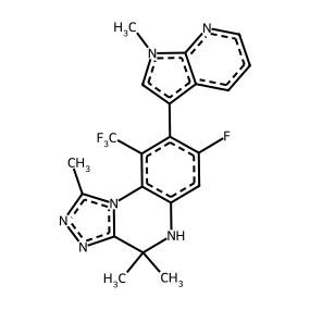 Cc1nnc2n1-c1c(cc(F)c(-c3cn(C)c4ncccc34)c1C(F)(F)F)NC2(C)C